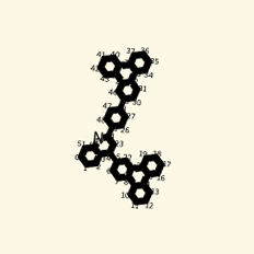 c1ccc2c(-c3ccc4c5ccccc5c5ccccc5c4c3)cc(-c3ccc(-c4ccc5c6ccccc6c6ccccc6c5c4)cc3)nc2c1